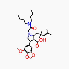 CCCCN(CCCC)C(=O)CN1CC(c2cc(OC)c3c(c2)OCO3)C(C(=O)O)C1CC(C)(C)C=C(C)C